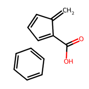 C=C1C=CC=C1C(=O)O.c1ccccc1